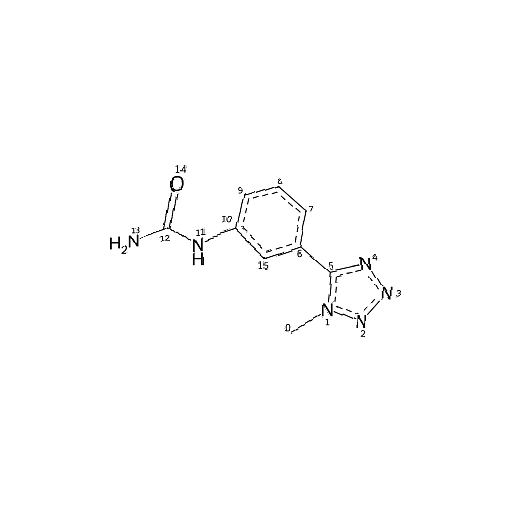 Cn1nnnc1-c1cccc(NC(N)=O)c1